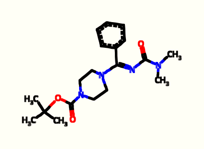 CN(C)C(=O)/N=C(\c1ccccc1)N1CCN(C(=O)OC(C)(C)C)CC1